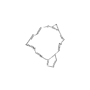 C1=CC2/C=N/C=C/C3=C(C3)O/C=C/C=C\C=N\C=N\C2=C1